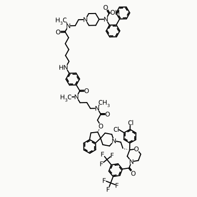 CN(CCN1CCC(N(C(=O)O)c2ccccc2-c2ccccc2)CC1)C(=O)CCCCCNc1ccc(C(=O)N(C)CCCN(C)C(=O)CO[C@H]2Cc3ccccc3C23CCN(CC[C@@]2(c4ccc(Cl)c(Cl)c4)CN(C(=O)c4cc(C(F)(F)F)cc(C(F)(F)F)c4)CCO2)CC3)cc1